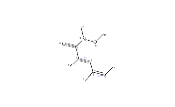 C/C=C(C)\C=C(/C)C(=O)N(C)OC